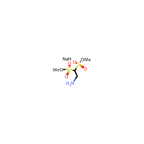 COS(=O)(=O)C(CN)S(=O)(=O)OC.[NaH]